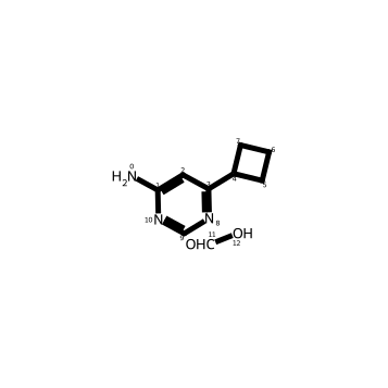 Nc1cc(C2CCC2)ncn1.O=CO